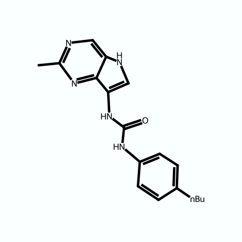 CCCCc1ccc(NC(=O)Nc2c[nH]c3cnc(C)nc23)cc1